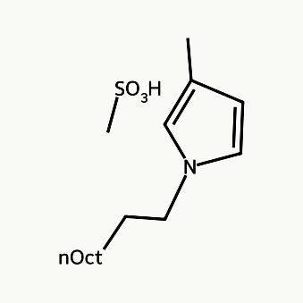 CCCCCCCCCCn1ccc(C)c1.CS(=O)(=O)O